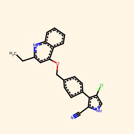 CCc1cc(OCc2ccc(-c3c(Cl)c[nH]c3C#N)cc2)c2ccccc2n1